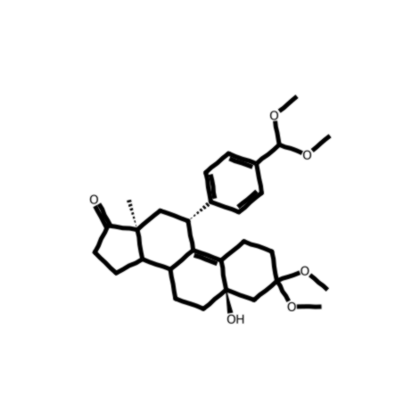 COC(OC)c1ccc([C@H]2C[C@]3(C)C(=O)CCC3C3CC[C@@]4(O)CC(OC)(OC)CCC4=C32)cc1